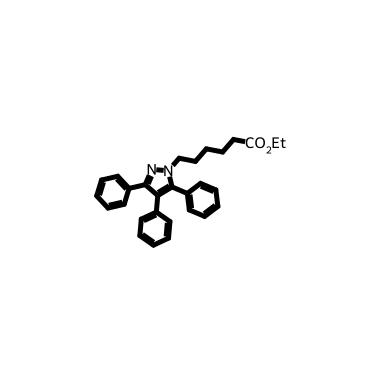 CCOC(=O)CCCCCn1nc(-c2ccccc2)c(-c2ccccc2)c1-c1ccccc1